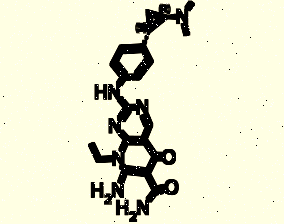 CCn1c(N)c(C(N)=O)c(=O)c2cnc(Nc3ccc([C@@H]4C[C@H]4N(C)C)cc3)nc21